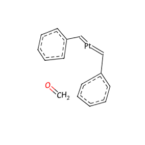 C=O.[CH](=[Pt]=[CH]c1ccccc1)c1ccccc1